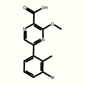 COc1nc(-c2cccc(Br)c2C)cnc1C(=O)O